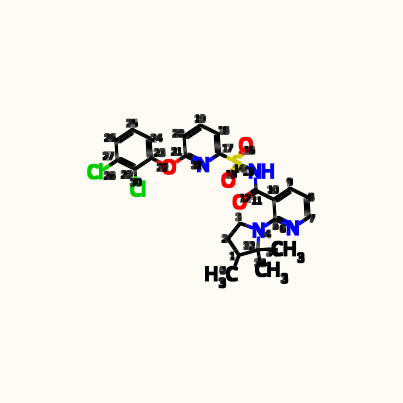 CC1CCN(c2ncccc2C(=O)NS(=O)(=O)c2cccc(Oc3cccc(Cl)c3Cl)n2)C1(C)C